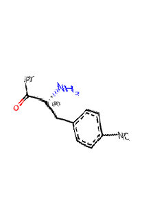 [C-]#[N+]c1ccc(C[C@@H](N)C(=O)C(C)C)cc1